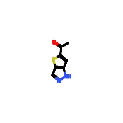 CC(=O)c1cc2[nH]ncc2s1